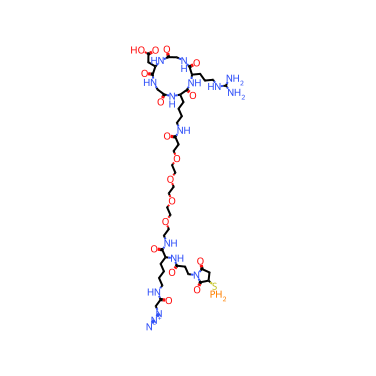 [N-]=[N+]=NCC(=O)NCCCCC(NC(=O)CCN1C(=O)CC(SP)C1=O)C(=O)NCCOCCOCCOCCOCCC(=O)NCCCCC1NC(=O)CNC(=O)C(CC(=O)O)NC(=O)CNC(=O)C(CCCNC(N)N)NC1=O